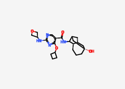 O=C(N[C@H]1C2CC3C[C@@](O)(CCCC31)C2)c1cnc(NC2COC2)nc1OC1CCC1